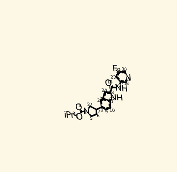 CC(C)OC(=O)N1CCC(c2ccc3[nH]c(C(=O)Nc4cncc(F)c4)cc3c2)C1